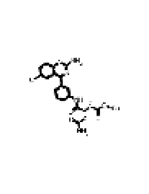 CC(C)(C)OC(=O)N[C@H](CC(N)=O)C(=O)Nc1cccc(-c2nc(N)nc3ccc(Cl)cc23)c1